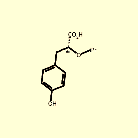 CC(C)O[C@H](Cc1ccc(O)cc1)C(=O)O